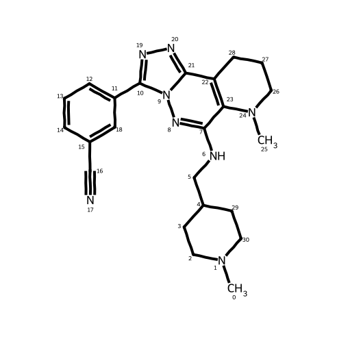 CN1CCC(CNc2nn3c(-c4cccc(C#N)c4)nnc3c3c2N(C)CCC3)CC1